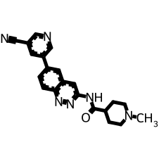 CN1CCC(C(=O)Nc2cc3cc(-c4cncc(C#N)c4)ccc3nn2)CC1